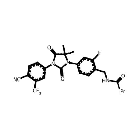 CC(C)C(=O)NCc1ccc(N2C(=O)N(c3ccc(C#N)c(C(F)(F)F)c3)C(=O)C2(C)C)cc1F